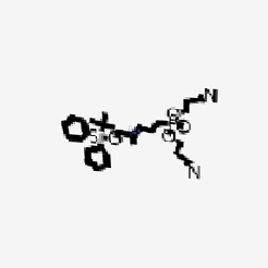 C/C(=C\CCP(=O)(OCCC#N)OCCC#N)CO[Si](c1ccccc1)(c1ccccc1)C(C)(C)C